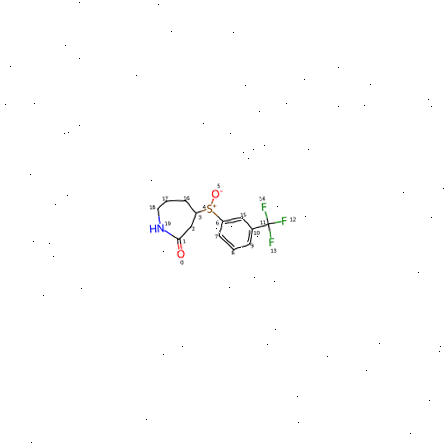 O=C1CC([S+]([O-])c2cccc(C(F)(F)F)c2)CCCN1